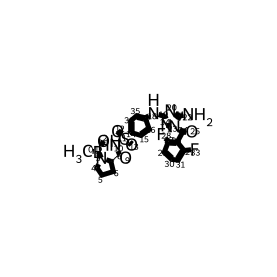 CB(O)N1CCC[C@H]1C(=O)NS(=O)(=O)c1ccc(Nc2nc(N)n(C(=O)c3c(F)cccc3F)n2)cc1